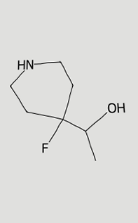 CC(O)C1(F)CCNCC1